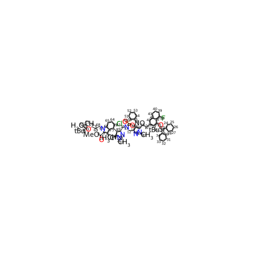 COC(=O)c1c(C)c2c(-c3c(CN(Cc4cc(CCc5cc(O[Si](c6ccccc6)(c6ccccc6)C(C)(C)C)c6c(F)cccc6c5)n(C)n4)S(=O)(=O)c4ccccc4[N+](=O)[O-])nn(C)c3C)c(Cl)ccc2n1CCCO[Si](C)(C)C(C)(C)C